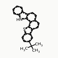 CC(C)(C)c1ccc2sc3c(ccc4ccc5c6ccccc6[nH]c5c43)c2c1